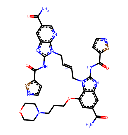 NC(=O)c1cnc2c(c1)nc(NC(=O)c1ccns1)n2C/C=C/Cn1c(NC(=O)c2ccns2)nc2cc(C(N)=O)cc(OCCCN3CCOCC3)c21